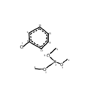 COB(OC)OC.Clc1ccccc1